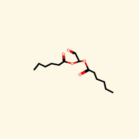 CCCCCC(=O)OC(C=O)OC(=O)CCCCC